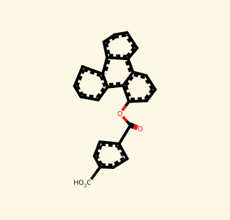 O=C(O)c1ccc(C(=O)Oc2cccc3c4ccccc4c4ccccc4c23)cc1